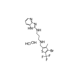 Cc1c(CNCCCNc2nc3ncccc3[nH]2)sc(C(F)(F)F)c1Br.Cl.Cl